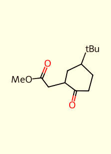 COC(=O)CC1CC(C(C)(C)C)CCC1=O